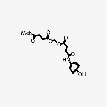 CNC(=O)CCC(=O)OCOC(=O)CCC(=O)Nc1ccc(O)cc1